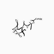 COC(=O)OC(C)(C)OC(=O)[C@@H]1N2C(=O)C[C@H]2S(=O)(=O)C1(C)C